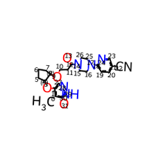 Cc1c(O[C@@H]2CCC[C@H]2OCCC(=O)N2CCN(c3ccc(C#N)cn3)CC2)cn[nH]c1=O